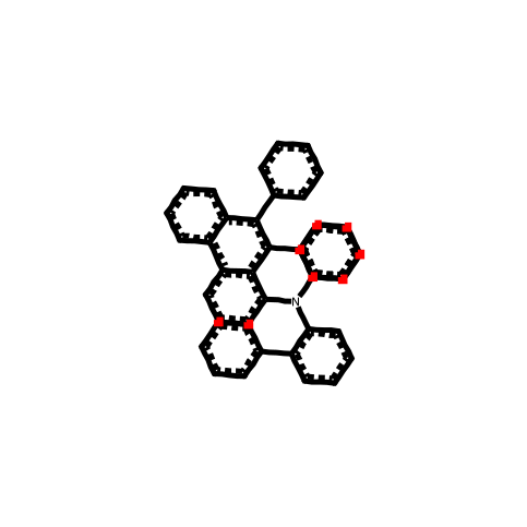 c1ccc(-c2ccccc2N(c2ccccc2)c2cccc3c2c(-c2ccccc2)c(-c2ccccc2)c2ccccc23)cc1